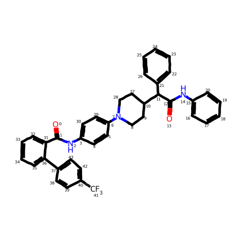 O=C(Nc1ccc(N2CCC(C(C(=O)Nc3ccccc3)c3ccccc3)CC2)cc1)c1ccccc1-c1ccc(C(F)(F)F)cc1